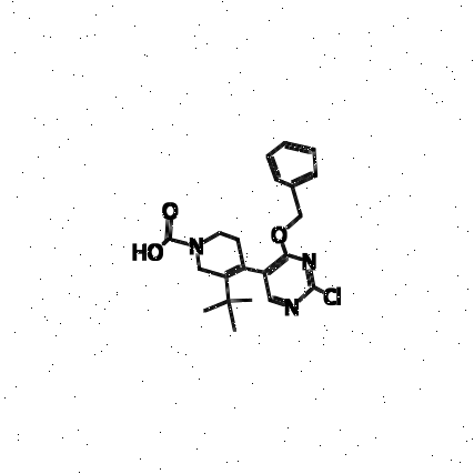 CC(C)(C)C1=C(c2cnc(Cl)nc2OCc2ccccc2)CCN(C(=O)O)C1